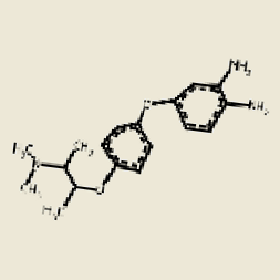 CC(Oc1ccc(Oc2ccc(N)c(N)c2)cc1)C(C)N(C)C